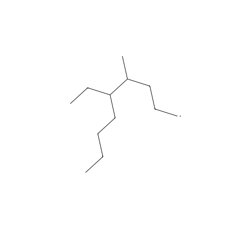 [CH2]CCC(C)C(CC)CCCC